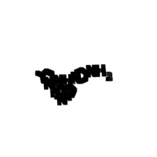 Cc1ccc(Nc2ncnn3ccc(CN4CCC(N)CC4)c23)nc1